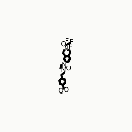 COC(=O)c1ccc(CCN2CCN(c3ccc4c(c3)CCN(C(=O)C(F)(F)F)CC4)C2=O)cc1